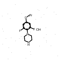 CC(C)Oc1cc(F)c(N2CCNCC2)c(F)c1.Cl